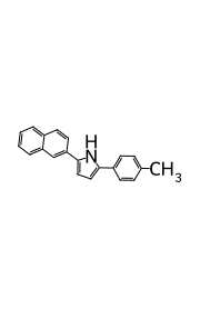 Cc1ccc(-c2ccc(-c3ccc4ccccc4c3)[nH]2)cc1